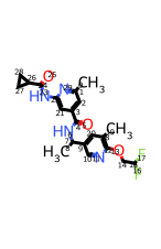 Cc1cc(C(=O)NC(C)c2cnc(OCC(F)F)c(C)c2)cc(NC(=O)C2CC2)n1